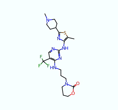 Cc1sc(C2CCN(C)CC2)nc1Nc1ncc(C(F)(F)F)c(NCCCN2CCCOC2=O)n1